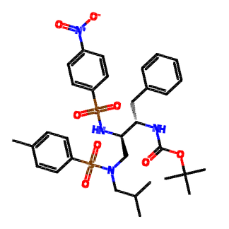 Cc1ccc(S(=O)(=O)N(CC(C)C)C[C@@H](NS(=O)(=O)c2ccc([N+](=O)[O-])cc2)[C@H](Cc2ccccc2)NC(=O)OC(C)(C)C)cc1